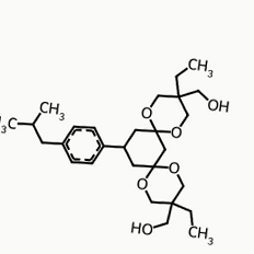 CCC1(CO)COC2(CC(c3ccc(CC(C)C)cc3)CC3(C2)OCC(CC)(CO)CO3)OC1